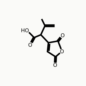 C=C(C)C(C(=O)O)C1=CC(=O)OC1=O